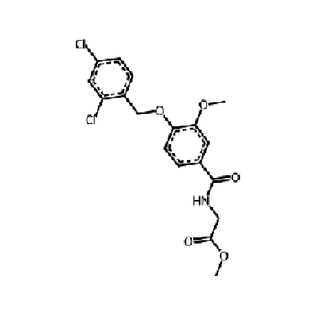 COC(=O)CNC(=O)c1ccc(OCc2ccc(Cl)cc2Cl)c(OC)c1